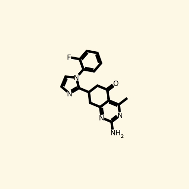 Cc1nc(N)nc2c1C(=O)CC(c1nccn1-c1ccccc1F)C2